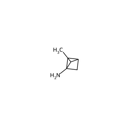 CC1C2CC1(N)C2